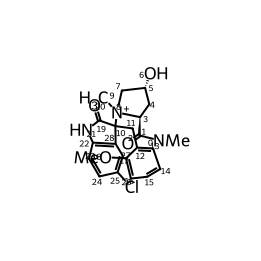 CNC(=O)[C@@H]1C[C@@H](O)C[N+]1(C)C1(Cc2ccccc2OC)C(=O)Nc2ccc(Cl)cc21